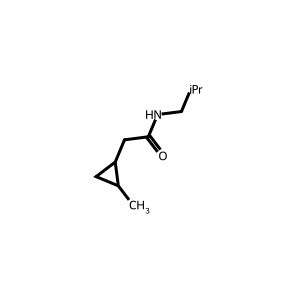 CC(C)CNC(=O)CC1CC1C